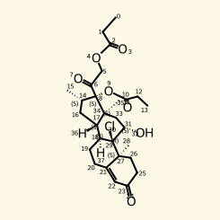 CCC(=O)OCC(=O)[C@]1(OC(=O)CC)[C@@H](C)C[C@H]2[C@@H]3CCC4=CC(=O)CC[C@]4(C)[C@@]3(Cl)[C@@H](O)C[C@@]21C